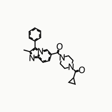 Cc1nc2ccc(C(=O)N3CCN(C(=O)C4CC4)CC3)cn2c1-c1ccccc1